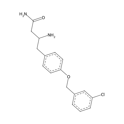 NC(=O)CC(N)Cc1ccc(OCc2cccc(Cl)c2)cc1